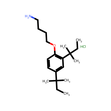 CCC(C)(C)c1ccc(OCCCCN)c(C(C)(C)CC)c1.Cl